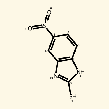 O=[SH](=O)c1ccc2[nH]c(S)nc2c1